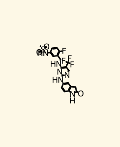 CS(=O)(=O)Nc1ccc(F)c(CNc2nc(Nc3ccc4c(c3)CC(=O)N4)ncc2C(F)(F)F)c1